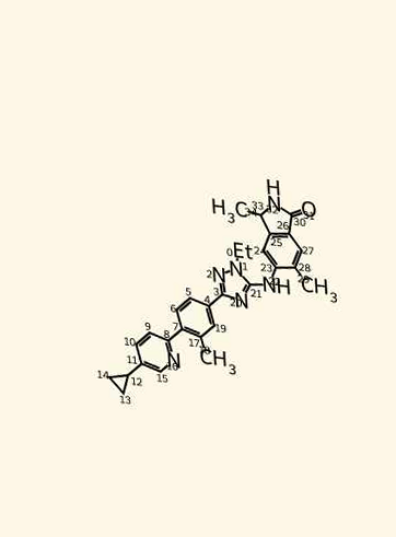 CCn1nc(-c2ccc(-c3ccc(C4CC4)cn3)c(C)c2)nc1Nc1cc2c(cc1C)C(=O)NC2C